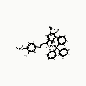 COc1ccc(C=Cc2nn(C(c3ccccc3)(c3ccccc3)c3ccccc3)c3cc(F)c(N)cc23)cc1F